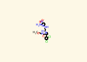 COCCNC(=O)c1c(-c2ccc(Cl)cc2Cl)ccn1CCCNc1ccc([N+](=O)[O-])c(N)n1